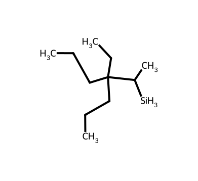 CCCC(CC)(CCC)C(C)[SiH3]